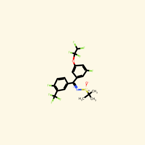 CC(C)(C)[S@@+]([O-])/N=C(\c1cc(F)cc(OC(F)(F)C(F)F)c1)c1ccc(F)c(C(F)(F)F)c1